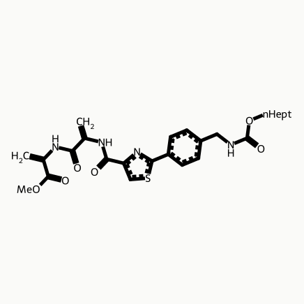 C=C(NC(=O)c1csc(-c2ccc(CNC(=O)OCCCCCCC)cc2)n1)C(=O)NC(=C)C(=O)OC